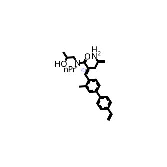 C=Cc1ccc(-c2ccc(/C=C(\CC(=C)N)C(=O)N(CCC)CC(C)O)c(C)c2)cc1